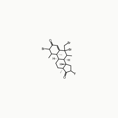 CC1[C@@H]2[C@@H](CC[C@]3(C)C(=O)C(F)C[C@@H]23)[C@]2(C)C(=CC(=O)C(Br)C2C)C1(Br)CBr